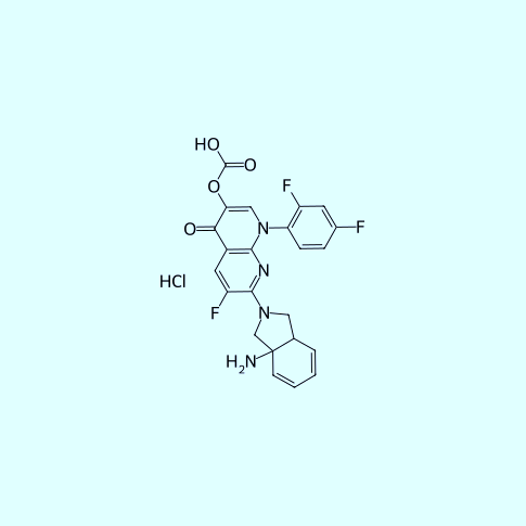 Cl.NC12C=CC=CC1CN(c1nc3c(cc1F)c(=O)c(OC(=O)O)cn3-c1ccc(F)cc1F)C2